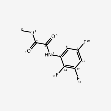 COC(=O)C(=O)Nc1cc(F)cc(F)c1F